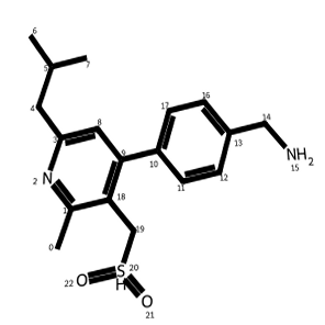 Cc1nc(CC(C)C)[c]c(-c2ccc(CN)cc2)c1C[SH](=O)=O